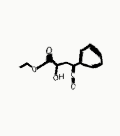 CCOC(=O)C(O)CC(=C=O)c1ccccc1